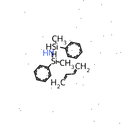 C=CC=C.C[SiH](N[SiH](C)c1ccccc1)c1ccccc1